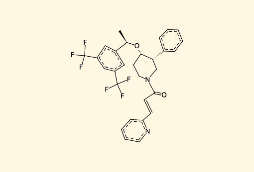 C[C@@H](O[C@H]1CCN(C(=O)C=Cc2ccccn2)C[C@H]1c1ccccc1)c1cc(C(F)(F)F)cc(C(F)(F)F)c1